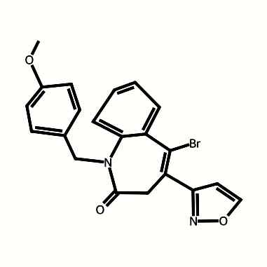 COc1ccc(CN2C(=O)CC(c3ccon3)=C(Br)c3ccccc32)cc1